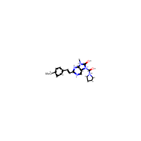 COc1ccc(C=Cc2ncc3c(n2)n(C)c(=O)n3C(=O)N2CCCC2)cc1